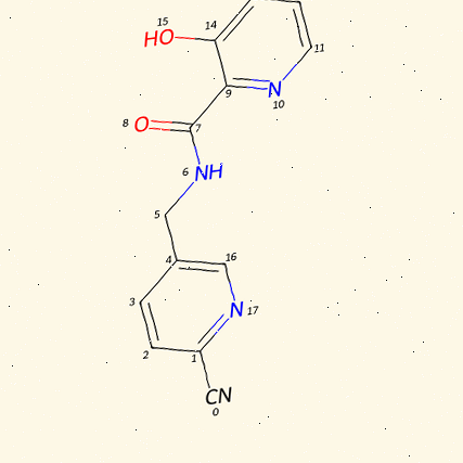 N#Cc1ccc(CNC(=O)c2ncccc2O)cn1